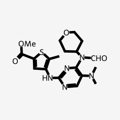 COC(=O)c1cc(Nc2ncc(N(C)C)c(N(C=O)C3CCOCC3)n2)c(C)s1